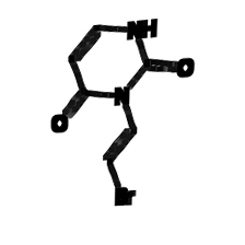 O=c1cc[nH]c(=O)n1C=CBr